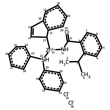 CC(C)c1ccccc1C(=O)[NH][Zr+2]([CH]1C=Cc2ccccc21)[SiH](c1ccccc1)c1ccccc1.[Cl-].[Cl-]